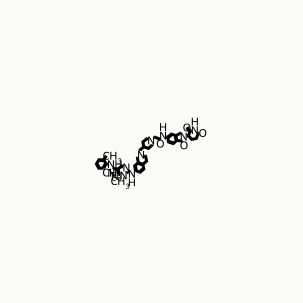 Cc1cccc(C)c1Nc1nn(C)c2nc(Nc3ccc4c(c3)CN(CC3CCN(CC(=O)Nc5ccc6c(c5)CN(C5CCC(=O)NC5=O)C6=O)CC3)CC4)ncc12